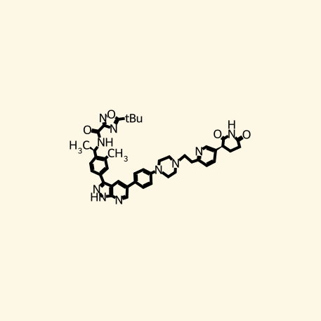 Cc1cc(-c2n[nH]c3ncc(-c4ccc(N5CCN(CCc6ccc([C@@H]7CCC(=O)NC7=O)cn6)CC5)cc4)cc23)ccc1[C@@H](C)NC(=O)c1noc(C(C)(C)C)n1